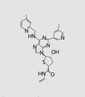 C=CNC(=O)[C@@H]1C[C@@H](O)[C@H](n2cnc3c(NCc4cc(C)ccn4)nc(-c4cncc(C)c4)nc32)S1